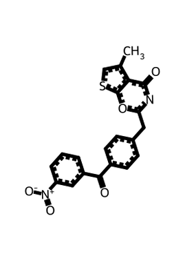 Cc1csc2oc(Cc3ccc(C(=O)c4cccc([N+](=O)[O-])c4)cc3)nc(=O)c12